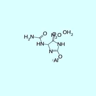 NC(=O)NC1N=C([O][Al])NC1=O.O.O